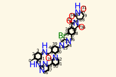 Cc1ccc(NC(=O)c2ccc(N3CCN(Cc4cc5c(cc4Br)C(=O)N(C4CCC(=O)NC4=O)C5=O)CC3)cc2)cc1Nc1nccc(-c2cccnc2)n1